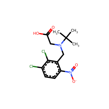 CC(C)(C)N(CC(=O)O)Cc1c([N+](=O)[O-])ccc(Cl)c1Cl